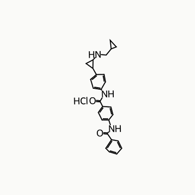 Cl.O=C(Nc1ccc(C(=O)Nc2ccc(C3CC3NCC3CC3)cc2)cc1)c1ccccc1